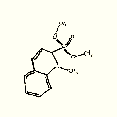 COP(=O)(OC)C1C=Cc2ccccc2N1C